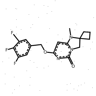 CN1c2cc(OCc3cc(F)c(F)c(F)c3)nc(=O)n2CC12CCC2